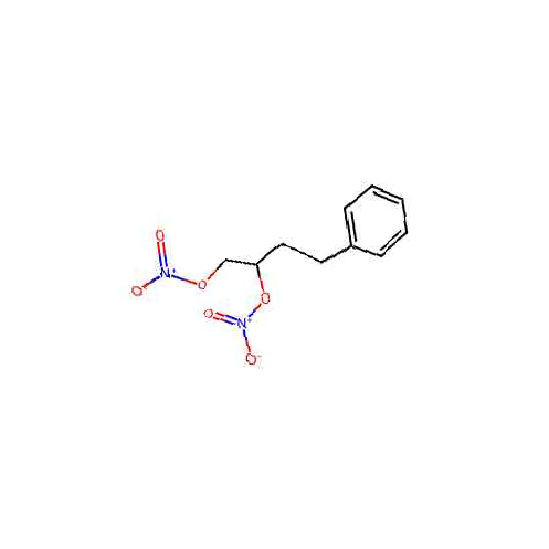 O=[N+]([O-])OCC(CCc1ccccc1)O[N+](=O)[O-]